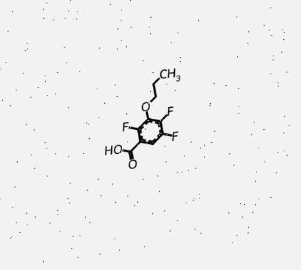 CCCOc1c(F)c(F)cc(C(=O)O)c1F